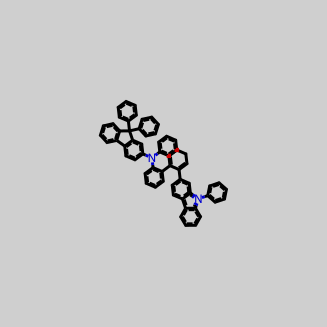 C1=C(c2ccc3c4ccccc4n(-c4ccccc4)c3c2)C(c2ccccc2N(c2ccccc2)c2ccc3c(c2)C(c2ccccc2)(c2ccccc2)c2ccccc2-3)=CCC1